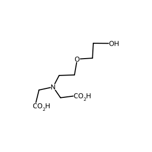 O=C(O)CN(CCOCCO)CC(=O)O